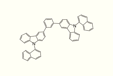 c1cc(-c2ccc3c(c2)c2ccccc2n3-c2cccc3ccccc23)cc(-c2ccc3c(c2)c2ccccc2n3-c2cccc3ccccc23)c1